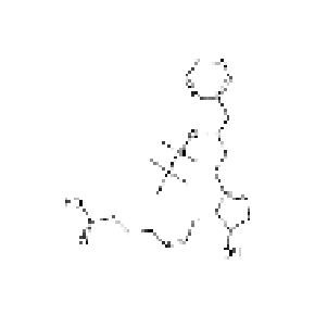 CC(C)(C)[Si](C)(C)OC(CCC1=CCC(O)[C@@H]1C/C=C\CCCC(=O)O)Cc1ccccc1